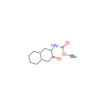 CC(C)(C)OC(=O)NC1CC2CCCCC2CC1=O